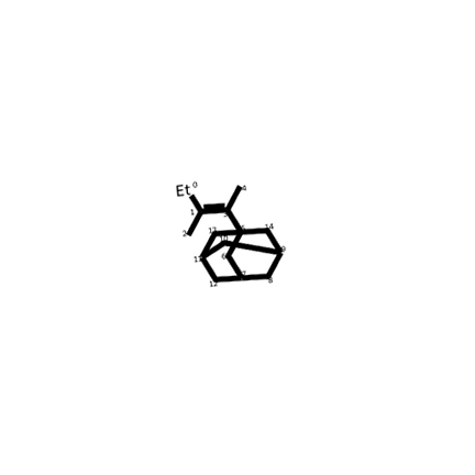 CCC(C)=C(C)C12CC3CC(CC(C3)C1)C2